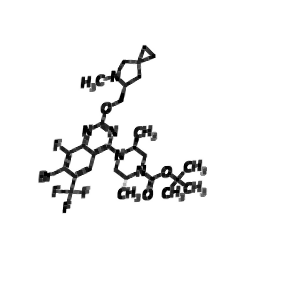 C[C@@H]1CN(c2nc(OC[C@@H]3CC4(CC4)CN3C)nc3c(F)c(Br)c(C(F)(F)F)cc23)[C@@H](C)CN1C(=O)OC(C)(C)C